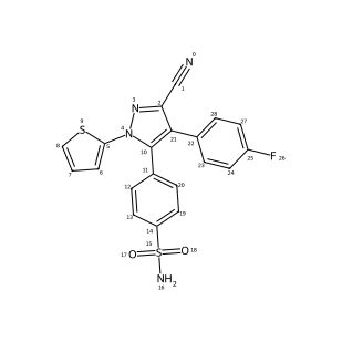 N#Cc1nn(-c2cccs2)c(-c2ccc(S(N)(=O)=O)cc2)c1-c1ccc(F)cc1